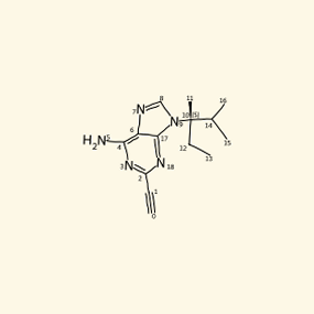 C#Cc1nc(N)c2ncn([C@@](C)(CC)C(C)C)c2n1